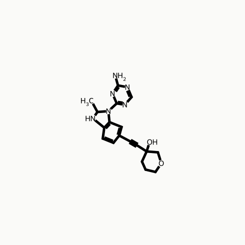 CC1Nc2ccc(C#CC3(O)CCCOC3)cc2N1c1ncnc(N)n1